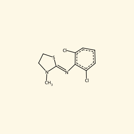 CN1CCSC1=Nc1c(Cl)cccc1Cl